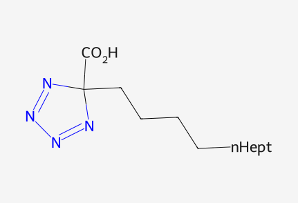 CCCCCCCCCCCC1(C(=O)O)N=NN=N1